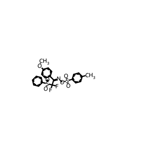 COc1ccc(C(=NOS(=O)(=O)c2ccc(C)cc2)C(F)(F)S(=O)(=O)c2ccccc2)cc1